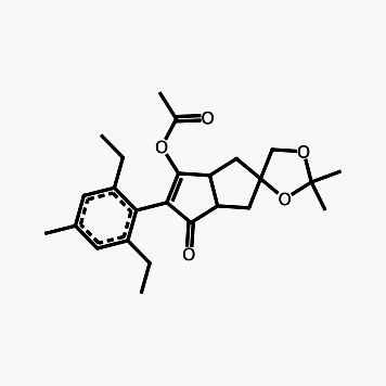 CCc1cc(C)cc(CC)c1C1=C(OC(C)=O)C2CC3(COC(C)(C)O3)CC2C1=O